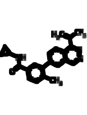 C=C(c1nncc2cc(-c3cc(C(=O)NC4CC4)ccc3C)ccc12)C(F)(F)F